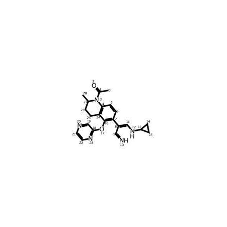 CC(=O)N1c2ccc(/C(C=N)=C/NC3CC3)c(Oc3cnccn3)c2CCC1C